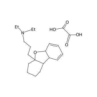 CCN(CC)CCCC12CCCCC1C1C=CC=CC1O2.O=C(O)C(=O)O